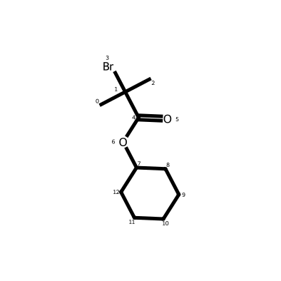 CC(C)(Br)C(=O)OC1CCCCC1